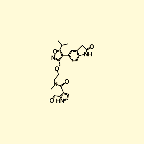 CC(C)c1onc(COCCN(C)C(=O)c2cc[nH]c2C=O)c1-c1ccc2c(c1)CC(=O)N2